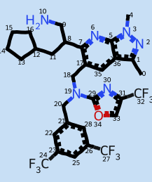 Cc1nn(C)c2nc(C(CN)CC3CCCC3)c(CN(Cc3cc(C(F)(F)F)cc(C(F)(F)F)c3)c3nc(C(F)(F)F)co3)cc12